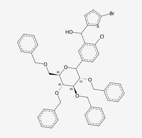 OC(c1ccc(Br)s1)c1cc(C2O[C@H](COCc3ccccc3)[C@@H](OCc3ccccc3)[C@H](OCc3ccccc3)[C@H]2OCc2ccccc2)ccc1Cl